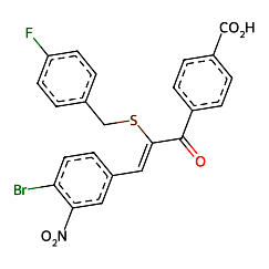 O=C(O)c1ccc(C(=O)C(=Cc2ccc(Br)c([N+](=O)[O-])c2)SCc2ccc(F)cc2)cc1